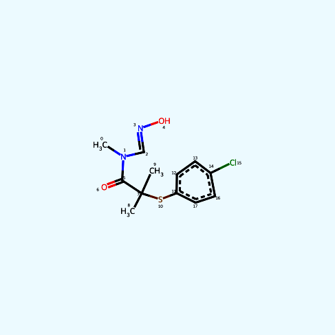 CN(C=NO)C(=O)C(C)(C)Sc1ccc(Cl)cc1